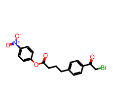 O=C(CCCc1ccc(C(=O)CBr)cc1)Oc1ccc([N+](=O)[O-])cc1